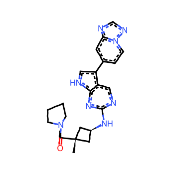 C[C@]1(C(=O)N2CCCC2)C[C@H](Nc2ncc3c(-c4ccn5ncnc5c4)c[nH]c3n2)C1